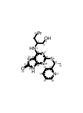 CC(C)CC(CO)Nc1nc(S[C@H](C)c2ccccn2)nc2[nH]c(=O)sc12